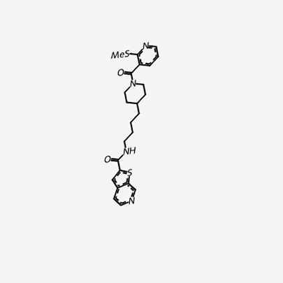 CSc1ncccc1C(=O)N1CCC(CCCCNC(=O)c2cc3ccncc3s2)CC1